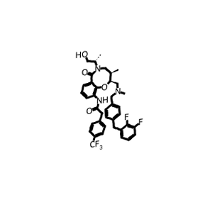 C[C@@H]1CN([C@@H](C)CO)C(=O)c2cccc(NC(=O)Cc3ccc(C(F)(F)F)cc3)c2O[C@@H]1CN(C)Cc1ccc(Cc2cccc(F)c2F)cc1